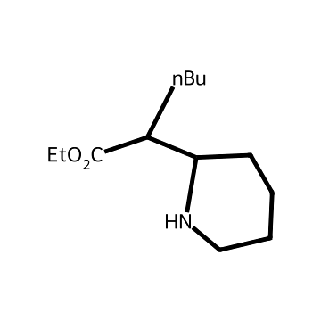 CCCCC(C(=O)OCC)C1CCCCN1